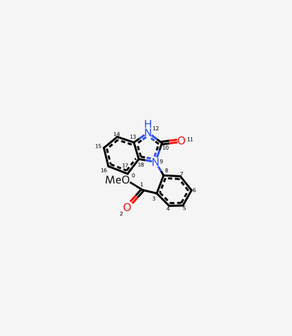 COC(=O)c1ccccc1-n1c(=O)[nH]c2ccccc21